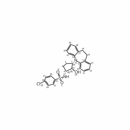 O=S(=O)(N[C@@H]1CC[C@H](N2c3ccccc3CCc3ccccc32)[C@H]1O)c1ccc(Cl)cc1